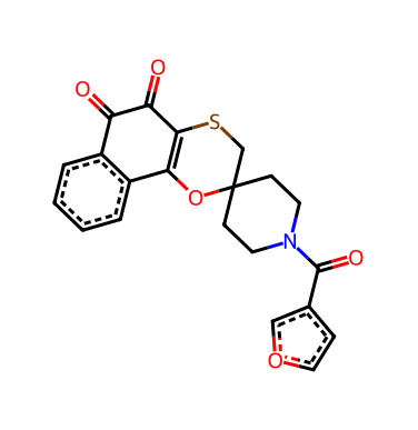 O=C1C(=O)c2ccccc2C2=C1SCC1(CCN(C(=O)c3ccoc3)CC1)O2